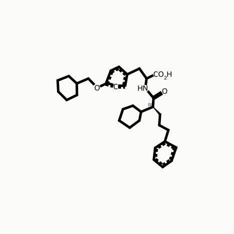 O=C(O)C(Cc1ccc(OCC2CCCCC2)cc1)NC(=O)[C@@H](CCCc1ccccc1)C1CCCCC1